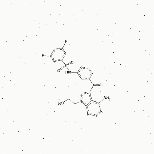 Nc1ncnc2c1c(C(=O)c1cccc(NS(=O)(=O)c3cc(F)cc(F)c3)c1)cn2CCO